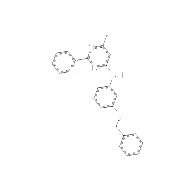 Cc1cc(Nc2cccc(OCc3ccccc3)c2)nc(-c2ccccn2)n1